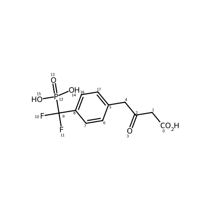 O=C(O)CC(=O)Cc1ccc(C(F)(F)P(=O)(O)O)cc1